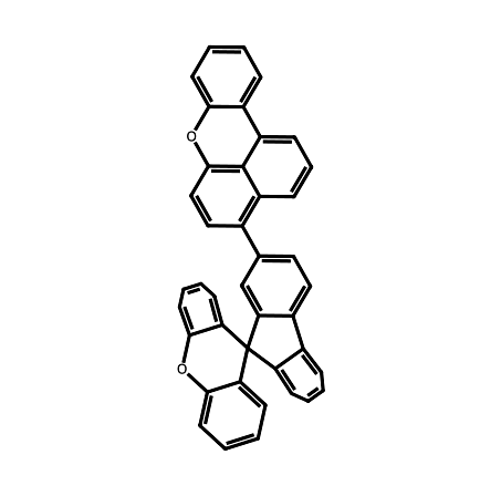 c1ccc2c(c1)Oc1ccc(-c3ccc4c(c3)C3(c5ccccc5Oc5ccccc53)c3ccccc3-4)c3cccc-2c13